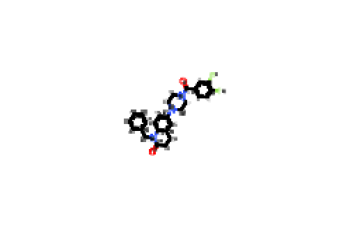 O=C(c1ccc(F)c(F)c1)N1CCN(c2ccc3c(c2)CCC(=O)N3Cc2ccccc2)CC1